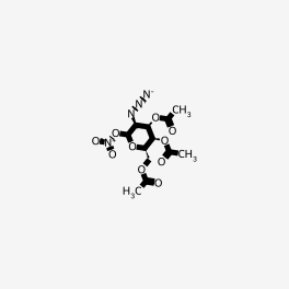 CC(=O)OC[C@@H]1OC(O[N+](=O)[O-])[C@@H](N=[N+]=[N-])[C@H](OC(C)=O)[C@@H]1OC(C)=O